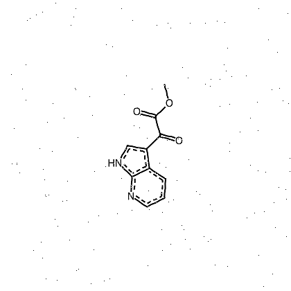 COC(=O)C(=O)c1c[nH]c2ncccc12